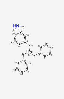 CNC.c1ccc([CH2][Ho]([CH2]c2ccccc2)[CH2]c2ccccc2)cc1